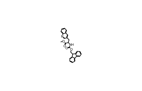 COC(=O)C(Cc1cnc2ccccc2c1)NC(=O)OCC1c2ccccc2-c2ccccc21